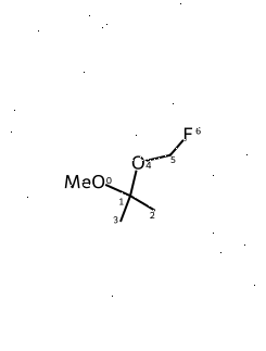 COC(C)(C)OCF